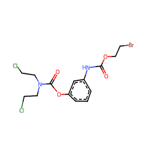 O=C(Nc1cccc(OC(=O)N(CCCl)CCCl)c1)OCCBr